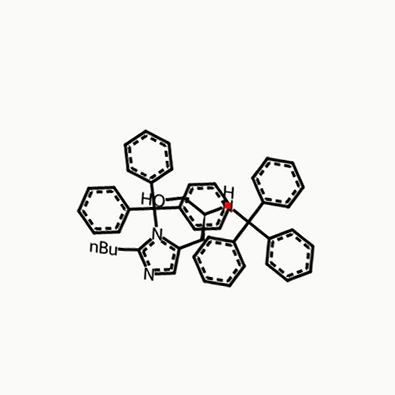 CCCCc1ncc(C[C@@H](CO)NC(c2ccccc2)(c2ccccc2)c2ccccc2)n1C(c1ccccc1)(c1ccccc1)c1ccccc1